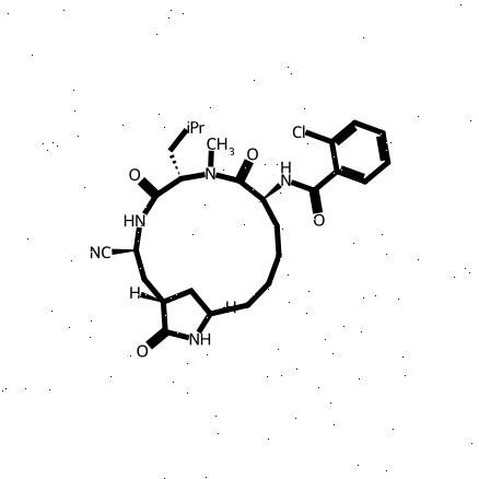 CC(C)C[C@H]1C(=O)N[C@H](C#N)C[C@@H]2C[C@@H](CCCC[C@H](NC(=O)c3ccccc3Cl)C(=O)N1C)NC2=O